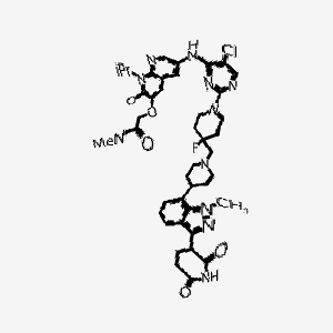 CNC(=O)COc1cc2cc(Nc3nc(N4CCC(F)(CN5CCC(c6cccc7c(C8CCC(=O)NC8=O)nn(C)c67)CC5)CC4)ncc3Cl)cnc2n(C(C)C)c1=O